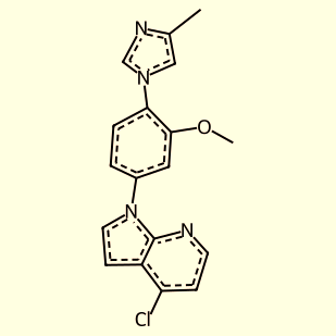 COc1cc(-n2ccc3c(Cl)ccnc32)ccc1-n1cnc(C)c1